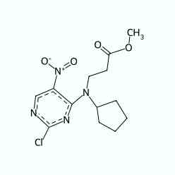 COC(=O)CCN(c1nc(Cl)ncc1[N+](=O)[O-])C1CCCC1